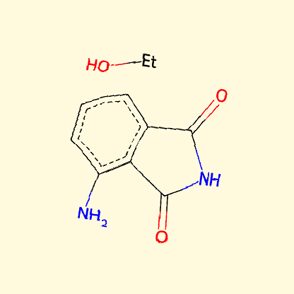 CCO.Nc1cccc2c1C(=O)NC2=O